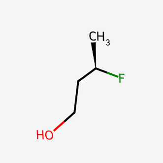 C[C@@H](F)CCO